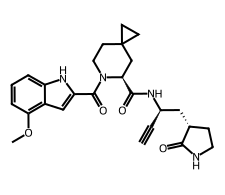 C#C[C@H](C[C@@H]1CCNC1=O)NC(=O)[C@@H]1CC2(CCN1C(=O)c1cc3c(OC)cccc3[nH]1)CC2